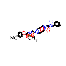 CS(=O)(=O)N(CCOc1ccc(C#N)cc1)CCN1CC2CN(CC(=O)NCc3ccccc3)CC(C1)O2